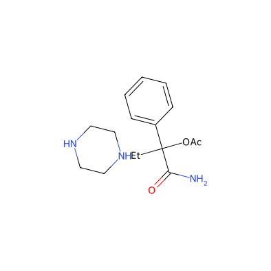 C1CNCCN1.CCC(OC(C)=O)(C(N)=O)c1ccccc1